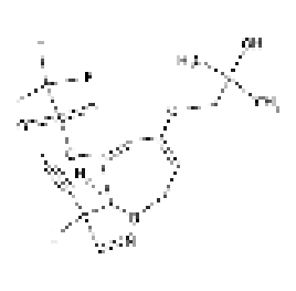 CC(C)(O)COC1=CCN2N=CC(C)(C#N)[C@H]2C(OS(=O)(=O)C(F)(F)F)=C1